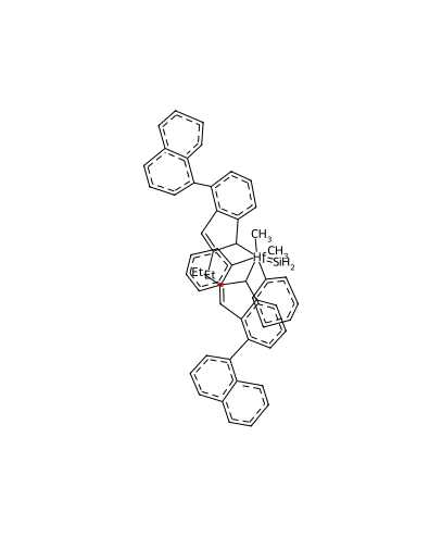 CCC1=Cc2c(-c3cccc4ccccc34)cccc2[CH]1[Hf]([CH3])([CH3])(=[SiH2])([c]1ccccc1)([c]1ccccc1)[CH]1C(CC)=Cc2c(-c3cccc4ccccc34)cccc21